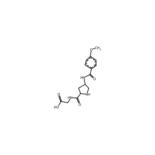 COc1ccc(C(=O)NC2CNC(C(=O)NCC(=O)O)C2)cc1